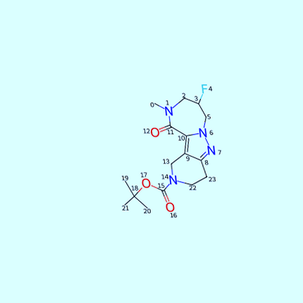 CN1CC(F)Cn2nc3c(c2C1=O)CN(C(=O)OC(C)(C)C)CC3